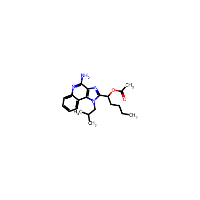 CCCCC(OC(C)=O)c1nc2c(N)nc3ccccc3c2n1CC(C)C